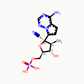 C[C@H]1[C@H](O)[C@@H](COP(=O)(O)O)O[C@@]1(C#N)c1ccc2c(N)ncnn12